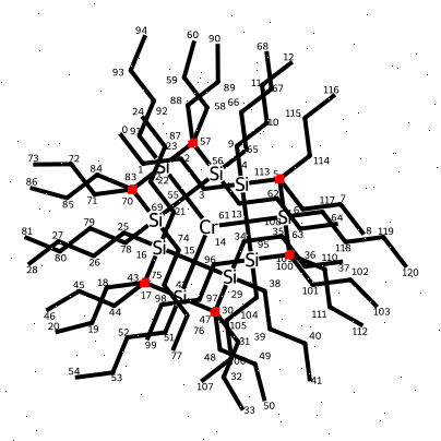 CCCC[Si](CCCC)(CCCC)[C]([Cr]([C]([Si](CCCC)(CCCC)CCCC)([Si](CCCC)(CCCC)CCCC)[Si](CCCC)(CCCC)CCCC)[C]([Si](CCCC)(CCCC)CCCC)([Si](CCCC)(CCCC)CCCC)[Si](CCCC)(CCCC)CCCC)([Si](CCCC)(CCCC)CCCC)[Si](CCCC)(CCCC)CCCC